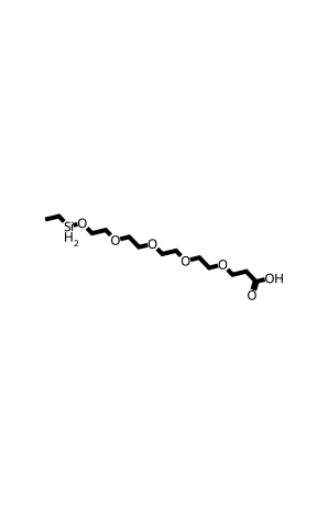 CC[SiH2]OCCOCCOCCOCCOCCC(=O)O